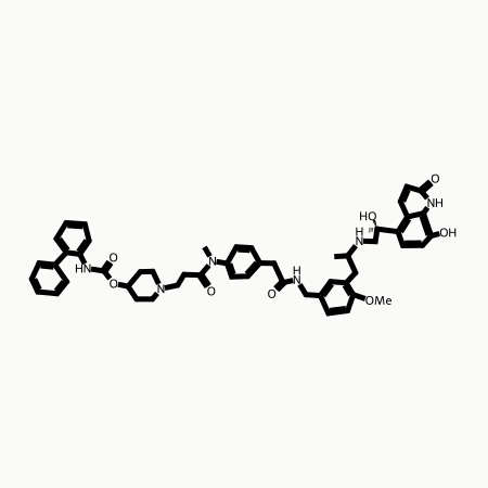 COc1ccc(CNC(=O)Cc2ccc(N(C)C(=O)CCN3CCC(OC(=O)Nc4ccccc4-c4ccccc4)CC3)cc2)cc1CC(C)NC[C@H](O)c1ccc(O)c2[nH]c(=O)ccc12